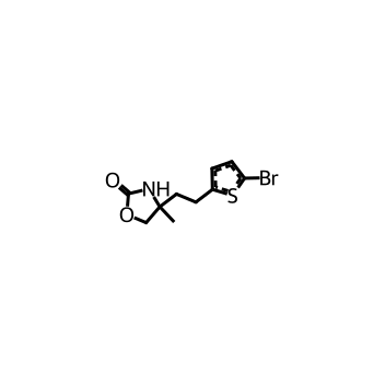 CC1(CCc2ccc(Br)s2)COC(=O)N1